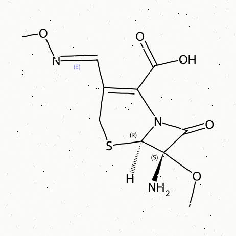 CO/N=C/C1=C(C(=O)O)N2C(=O)[C@](N)(OC)[C@H]2SC1